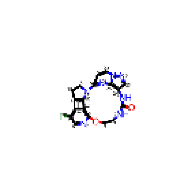 O=C1NCCOc2ncc(F)cc2[C@H]2CCCN2c2ccn3ncc(c3n2)N1